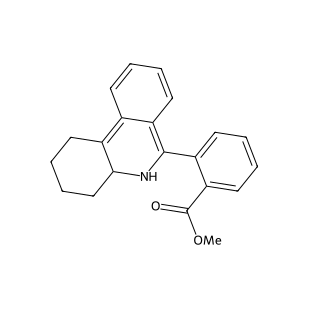 COC(=O)c1ccccc1C1=c2ccccc2=C2CCCCC2N1